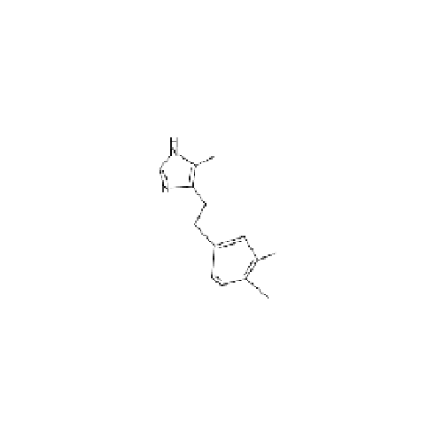 Cc1ccc(CCc2nc[nH]c2C)cc1C